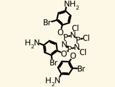 Nc1ccc(OP2N=P(Oc3ccc(N)cc3Br)(Oc3ccc(N)cc3Br)N(Cl)P(Cl)N2Cl)c(Br)c1